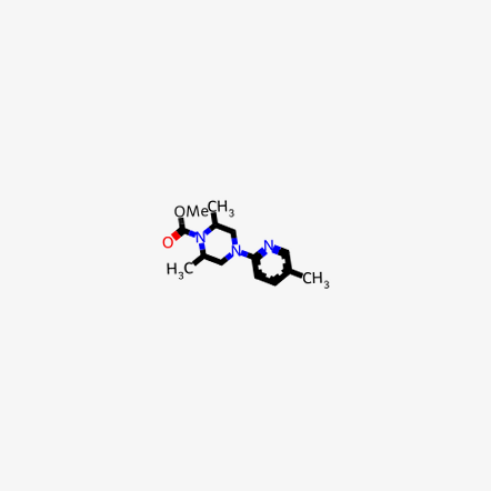 COC(=O)N1C(C)CN(c2ccc(C)cn2)CC1C